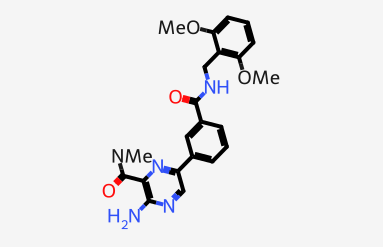 CNC(=O)c1nc(-c2cccc(C(=O)NCc3c(OC)cccc3OC)c2)cnc1N